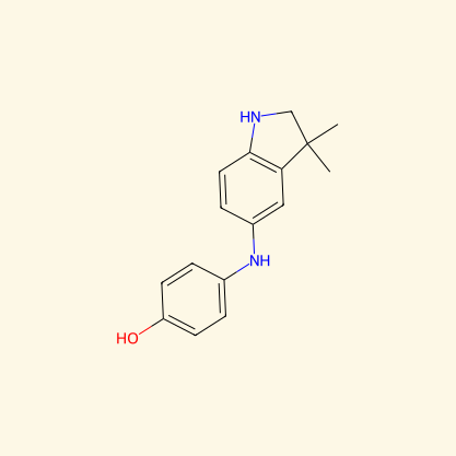 CC1(C)CNc2ccc(Nc3ccc(O)cc3)cc21